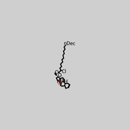 C#C[C@]1(OC(=O)C(Cl)CCCCCCCCCCCCCCCCCCCCCC)CC[C@H]2[C@@H]3CCC4CC=CC[C@@H]4[C@H]3CC[C@@]21C